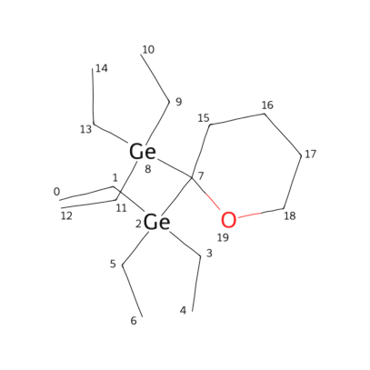 C[CH2][Ge]([CH2]C)([CH2]C)[C]1([Ge]([CH2]C)([CH2]C)[CH2]C)CCCCO1